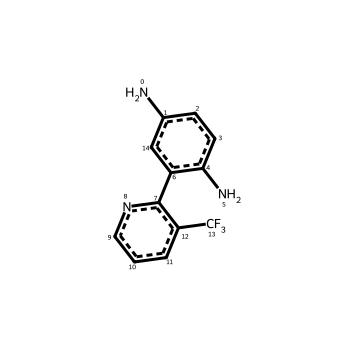 Nc1ccc(N)c(-c2ncccc2C(F)(F)F)c1